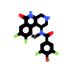 CN(C(=O)c1cc(F)c(Br)c(F)c1)C1CNCc2[nH]c(=O)c3cc(F)c(F)cc3c21